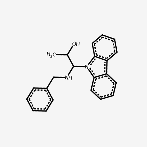 CC(O)C(NCc1ccccc1)n1c2ccccc2c2ccccc21